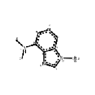 C[SH](C)c1cncc2c1ncn2C(C)(C)C